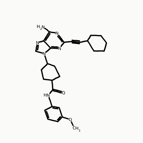 COc1cccc(NC(=O)C2CCC(n3cnc4c(N)nc(C#CC5CCCCC5)nc43)CC2)c1